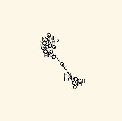 COc1cccc(Nc2c(C(N)=O)cnc3c(C)cc(S(=O)(=O)c4cccc(C(=O)Nc5ccc(CCCCOCCCCCCNCC(O)c6ccc(O)c7[nH]c(=O)ccc67)cc5)c4)cc23)c1